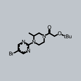 CC1CN(C(=O)COC(C)(C)C)CCN1c1ncc(Br)cn1